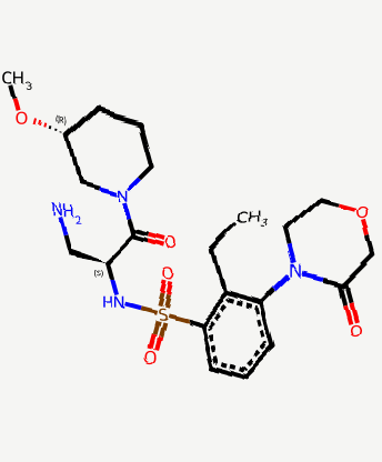 CCc1c(N2CCOCC2=O)cccc1S(=O)(=O)N[C@@H](CN)C(=O)N1CCC[C@@H](OC)C1